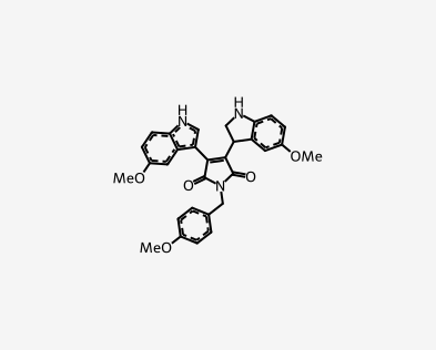 COc1ccc(CN2C(=O)C(c3c[nH]c4ccc(OC)cc34)=C(C3CNc4ccc(OC)cc43)C2=O)cc1